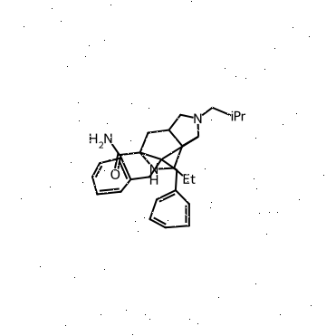 CCC1NC2(C(N)=O)CC3CN(CC(C)C)C(C31)C2(Cc1ccccc1)Cc1ccccc1